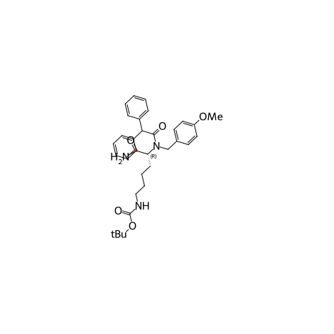 COc1ccc(CN(C(=O)C(c2ccccc2)c2ccccc2)[C@H](CCCCNC(=O)OC(C)(C)C)C(N)=O)cc1